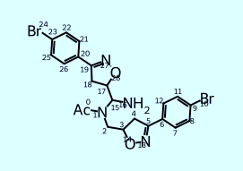 CC(=O)N(CC1CC(c2ccc(Br)cc2)=NO1)C(N)C1CC(c2ccc(Br)cc2)=NO1